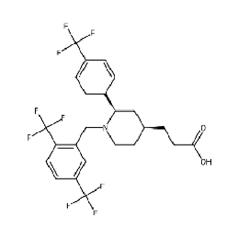 O=C(O)CC[C@H]1CCN(Cc2cc(C(F)(F)F)ccc2C(F)(F)F)[C@@H](C2C=CC(C(F)(F)F)=CC2)C1